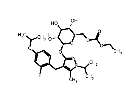 CCOC(=O)OC[C@H]1O[C@@H](Oc2nn(C(C)C)c(C)c2Cc2ccc(OC(C)C)cc2F)[C@H](O)[C@@H](O)[C@@H]1O